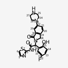 O=C(Nc1nccs1)C(c1cc(F)ccc1O)N1Cc2ccc(N3CCNCC3)cc2C1=O